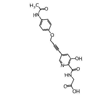 CC(=O)Nc1ccc(OCC#Cc2cnc(C(=O)NCC(=O)O)c(O)c2)cc1